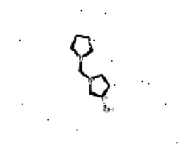 O[C@H]1CCN(CN2CCCC2)C1